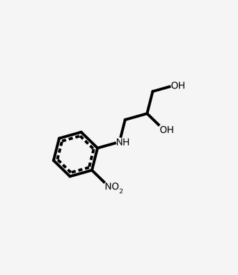 O=[N+]([O-])c1ccccc1NCC(O)CO